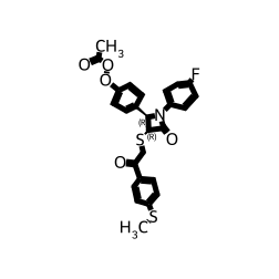 CSc1ccc(C(=O)CS[C@H]2C(=O)N(c3ccc(F)cc3)[C@@H]2c2ccc(OOC(C)=O)cc2)cc1